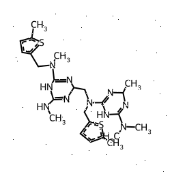 CNC1=NC(CN(Cc2ccc(C)s2)C2=NC(C)N=C(N(C)C)N2)N=C(N(C)Cc2ccc(C)s2)N1